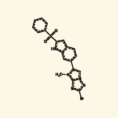 Cn1c(-c2ccc3cc(S(=O)(=O)c4ccccc4)[nH]c3c2)cn2nc(Br)nc12